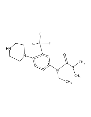 CCN(C(=O)N(C)C)c1ccc(N2CCNCC2)c(C(F)(F)F)c1